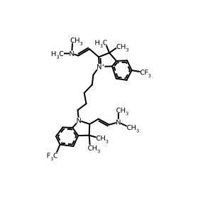 CN(C)/C=C/C1=[N+](CCCCCN2c3ccc(C(F)(F)F)cc3C(C)(C)C2/C=C/N(C)C)c2ccc(C(F)(F)F)cc2C1(C)C